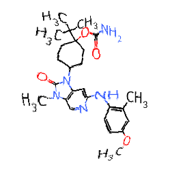 COc1ccc(Nc2cc3c(cn2)n(C)c(=O)n3C2CCC(OC(N)=O)(C(C)(C)C)CC2)c(C)c1